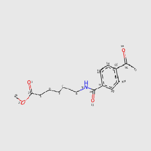 COC(=O)CCCCCNC(=O)c1ccc(C(C)=O)cc1